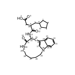 O=C(O)C[C@@H](CC1CCCC1)C(=O)N[C@H]1Cc2cn(c3ccccc23)CCCCCNC1=O